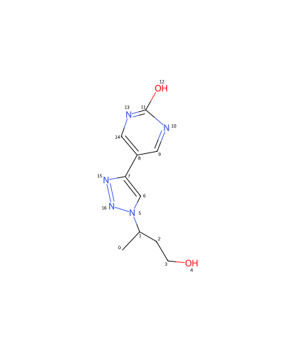 CC(CCO)n1cc(-c2cnc(O)nc2)nn1